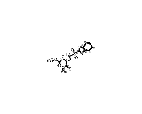 CC(C)(C)OC(=O)N[C@@H](CC(F)S(=O)(=O)c1nc2ccccc2s1)C(=O)OC(C)(C)C